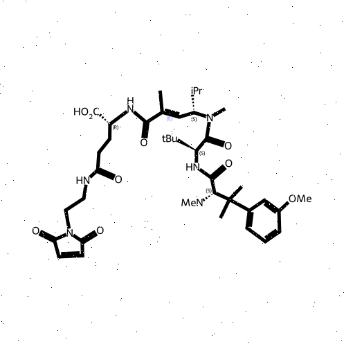 CN[C@H](C(=O)N[C@H](C(=O)N(C)[C@H](/C=C(\C)C(=O)N[C@H](CCC(=O)NCCN1C(=O)C=CC1=O)C(=O)O)C(C)C)C(C)(C)C)C(C)(C)c1cccc(OC)c1